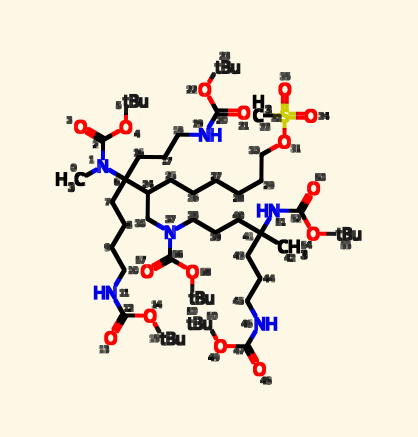 CN(C(=O)OC(C)(C)C)C(CCCCNC(=O)OC(C)(C)C)(CCCNC(=O)OC(C)(C)C)C(CCCCCCOS(C)(=O)=O)CN(CCCC(C)(CCCNC(=O)OC(C)(C)C)NC(=O)OC(C)(C)C)C(=O)OC(C)(C)C